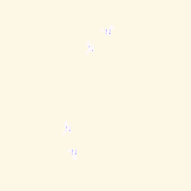 C1=c2ccc3ccc(-c4ccccc4)nc3c2=NC(c2ccc3ccc(-c4ccc5ccc6ccc(-c7ccccc7)nc6c5n4)cc3c2)C1